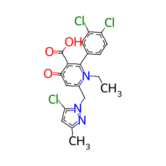 CCn1c(Cn2nc(C)cc2Cl)cc(=O)c(C(=O)O)c1-c1ccc(Cl)c(Cl)c1